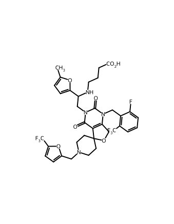 Cc1ccc(C(Cn2c(=O)c3c(n(Cc4c(F)cccc4C(F)(F)F)c2=O)COC32CCN(Cc3ccc(C(F)(F)F)o3)CC2)NCCCC(=O)O)o1